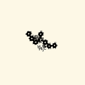 C[Si]1(C)c2ccc(-c3ccccc3)cc2-c2ccc(-c3nc(-c4ccccc4)nc(-c4cccc5c4[Si](C)(C)c4cc(-c6ccccc6)ccc4-5)n3)cc21